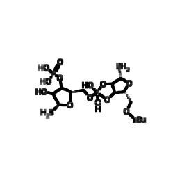 B[C@@H]1O[C@H](COP2(O)(O)OC3C(O2)[C@@H](COCCCC)O[C@H]3B)C(OP(=O)(O)O)C1O